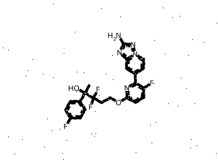 CC(O)(c1ccc(F)cc1)C(F)(F)CCOc1ccc(F)c(-c2ccn3nc(N)nc3c2)n1